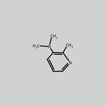 Cc1ncc[c]c1N(C)C